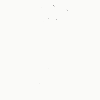 CCc1nc2ncc(C)cn2c1C(=O)NCc1ccc(-c2nc3n(n2)CCC(O)C3)cc1